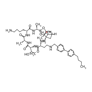 CCCCc1ccc(-c2ccc(CNCC[C@H](N)C(=O)N[C@H](C(=O)N[C@@H](C)C(=O)N[C@@H](CCCCN)C(=O)N[C@@H](C)B3OC4C[C@@H]5C[C@@H](C5(C)C)[C@]4(C)O3)[C@@H](C)O)cc2)cc1